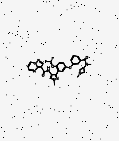 CN1CC(N(C)C(=O)c2cccc(Oc3ccc(OC(F)F)c(-c4nn(C)cc4NC(=O)c4cnn5cccnc45)c3)c2)C1